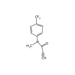 C#CC(=O)N(C)c1ccc(C(F)(F)F)cc1